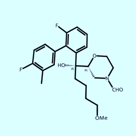 COCCCC[C@@](O)(c1cccc(F)c1-c1ccc(F)c(C)c1)[C@H]1CN(C=O)CCO1